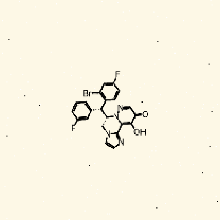 O=c1cnn2c(c1O)-c1nccn1C[C@@H]2[C@H](c1cccc(F)c1)c1ccc(F)cc1Br